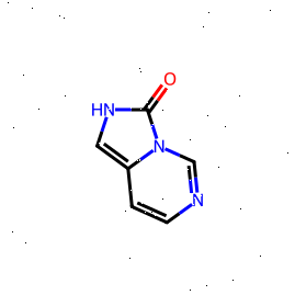 O=c1[nH]cc2ccncn12